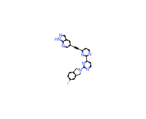 Fc1ccc2c(c1)CN(c1nccc(-c3nccc(C#Cc4cnc5[nH]ncc5c4)n3)n1)C2